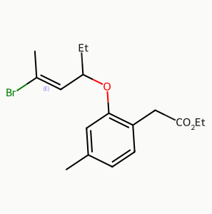 CCOC(=O)Cc1ccc(C)cc1OC(/C=C(\C)Br)CC